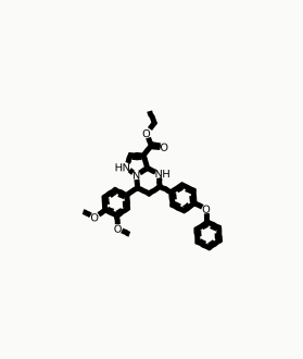 CCOC(=O)C1=CNN2C1NC(c1ccc(Oc3ccccc3)cc1)CC2c1ccc(OC)c(OC)c1